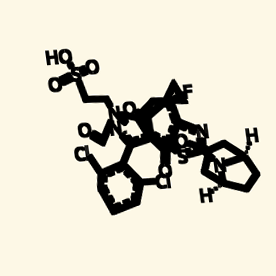 O=CN(CCS(=O)(=O)O)c1cc(F)c2nc(N3[C@@H]4CC[C@H]3CC(OC(=O)c3c(-c5c(Cl)cccc5Cl)noc3C3CC3)C4)sc2c1